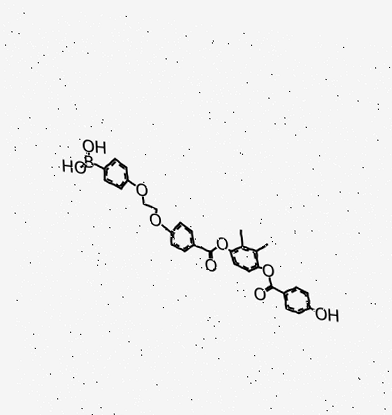 Cc1c(OC(=O)c2ccc(O)cc2)ccc(OC(=O)c2ccc(OCCOc3ccc(B(O)O)cc3)cc2)c1C